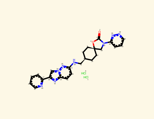 Cl.Cl.O=C1O[C@]2(CC[C@H](CNc3ccc4nc(-c5ccccn5)cn4n3)CC2)CN1c1cccnn1